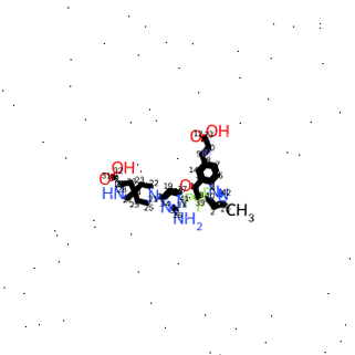 Cc1ccn(-c2ccc(/C=C/C(=O)O)cc2C(Oc2cc(N3CCC4(CC3)CN[C@H](C(=O)O)C4)nc(N)n2)C(F)(F)F)n1